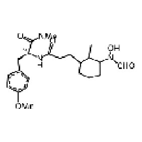 CNC(=O)[C@H](Cc1ccc(OC)cc1)NC(=O)CCC1CCCC(N(O)C=O)C1C